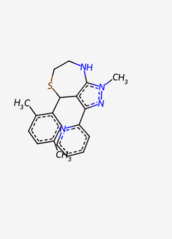 Cc1ccc(C)c(C2SCCNc3c2c(-c2ccccn2)nn3C)c1